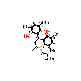 CCCCCCCCCCCCSC(C)CC(c1cc(C(C)(C)C)cc(CC)c1O)c1cc(C(C)(C)C)cc(CC)c1O